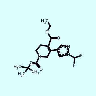 CCOC(=O)C1=C(c2cnn(C(F)F)c2)CN(C(=O)OC(C)(C)C)CC1